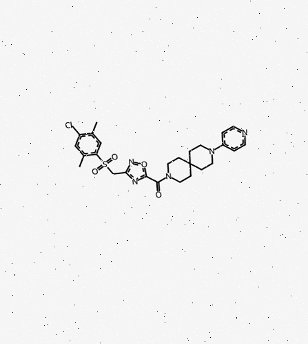 Cc1cc(S(=O)(=O)Cc2noc(C(=O)N3CCC4(CC3)CCN(c3ccncc3)CC4)n2)c(C)cc1Cl